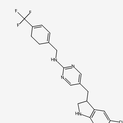 FC(F)(F)C1=CC=C(CNc2ncc(CC3CNc4ncc(Cl)cc43)cn2)CC1